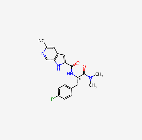 CN(C)C(=O)[C@H](Cc1ccc(F)cc1)NC(=O)c1cc2cc(C#N)ncc2[nH]1